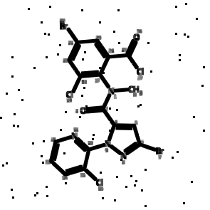 CN(C(=O)c1cc(Br)nn1-c1ncccc1Cl)c1c(Cl)cc(Br)cc1C(=O)Cl